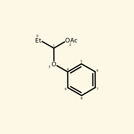 [CH2]CC(OC(C)=O)Oc1ccccc1